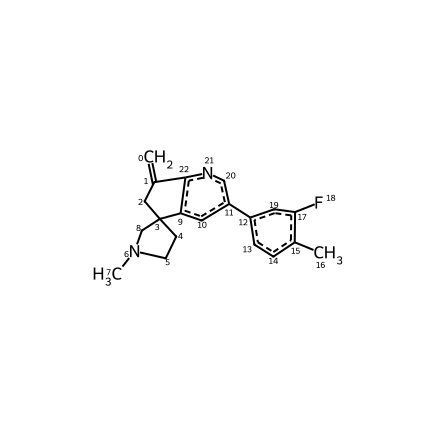 C=C1CC2(CCN(C)C2)c2cc(-c3ccc(C)c(F)c3)cnc21